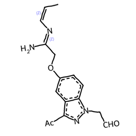 C/C=C\N=C(/N)COc1ccc2c(c1)c(C(C)=O)nn2CC=O